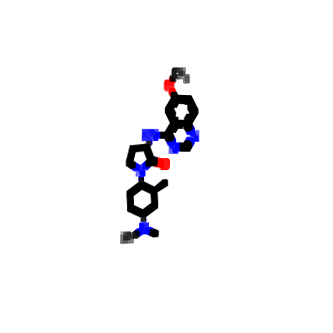 CC(C)N(C)[C@@H]1CC[C@H](N2CC[C@H](Nc3ncnc4ccc(OC(F)(F)F)cc34)C2=O)[C@@H](C)C1